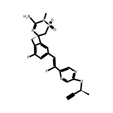 C#C[C@H](C)Oc1cnc(/C(F)=C/c2cc(F)c3c(c2)[C@]2(C3)CS(=O)(=O)N(C)C(N)=N2)cn1